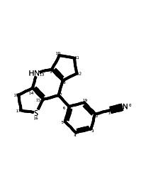 N#Cc1cccc(C2C3=C(CCC3)NC3=C2SCC3)c1